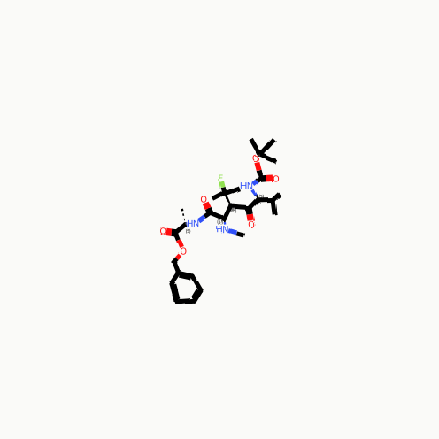 CN[C@H](C(=O)N[C@@H](C)C(=O)OCc1ccccc1)[C@H](C(=O)[C@@H](NC(=O)OC(C)(C)C)C(C)C)C(C)(C)F